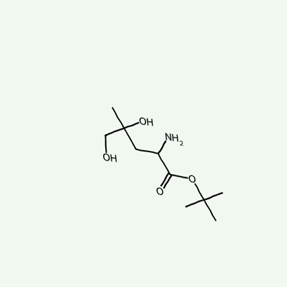 CC(O)(CO)CC(N)C(=O)OC(C)(C)C